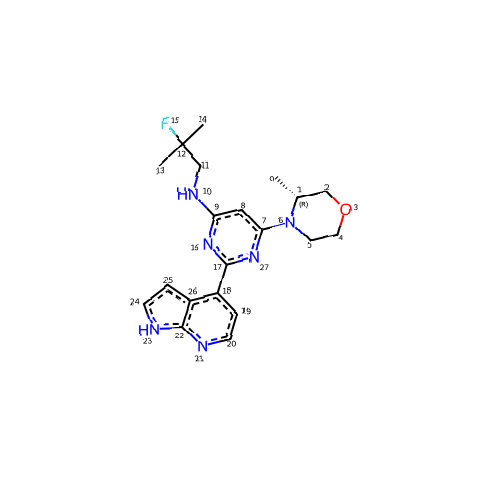 C[C@@H]1COCCN1c1cc(NCC(C)(C)F)nc(-c2ccnc3[nH]ccc23)n1